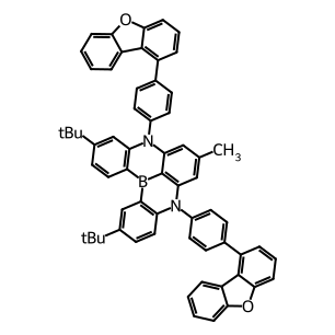 Cc1cc2c3c(c1)N(c1ccc(-c4cccc5oc6ccccc6c45)cc1)c1cc(C(C)(C)C)ccc1B3c1cc(C(C)(C)C)ccc1N2c1ccc(-c2cccc3oc4ccccc4c23)cc1